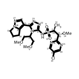 COCC(COC)n1c(NS(=O)(=O)[C@@H](C)[C@H](OC)c2ncc(Cl)cn2)nnc1-c1cnn2c1CCC2